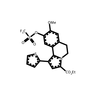 CCOC(=O)c1cc(-c2cccs2)c2n1CCc1cc(OC)c(OS(=O)(=O)C(F)(F)F)cc1-2